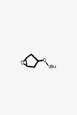 CC(C)(C)OC1CC2OC2C1